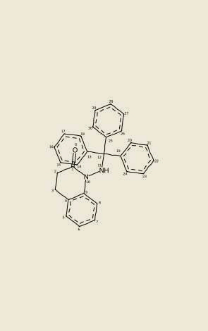 O=C1CCc2ccccc2N1NC(c1ccccc1)(c1ccccc1)c1ccccc1